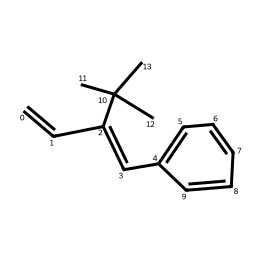 C=CC(=Cc1ccccc1)C(C)(C)C